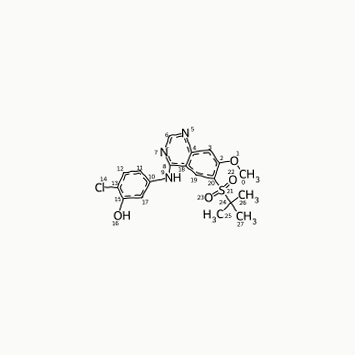 COc1cc2ncnc(Nc3ccc(Cl)c(O)c3)c2cc1S(=O)(=O)C(C)(C)C